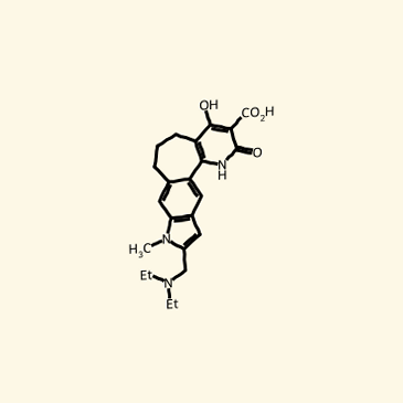 CCN(CC)Cc1cc2cc3c(cc2n1C)CCCc1c-3[nH]c(=O)c(C(=O)O)c1O